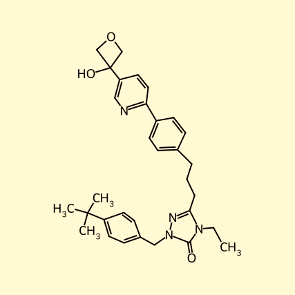 CCn1c(CCCc2ccc(-c3ccc(C4(O)COC4)cn3)cc2)nn(Cc2ccc(C(C)(C)C)cc2)c1=O